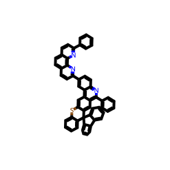 c1ccc(-c2ccc3ccc4ccc(-c5ccc6nc(-c7ccccc7)c7cc8c(cc7c6c5)Sc5ccccc5C85c6ccccc6-c6ccccc65)nc4c3n2)cc1